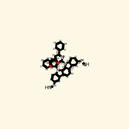 N=Pc1ccc2c(c1)c1ccc3c4cc(P=N)ccc4n(-c4nc(-c5ccccc5)cc(-c5ccccc5)n4)c3c1n2-c1ccccc1